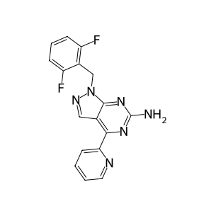 Nc1nc(-c2ccccn2)c2cnn(Cc3c(F)cccc3F)c2n1